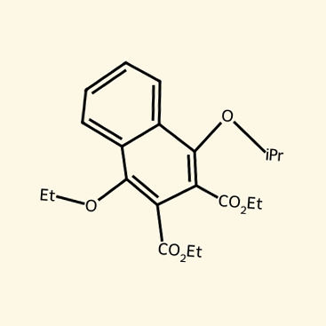 CCOC(=O)c1c(C(=O)OCC)c(OC(C)C)c2ccccc2c1OCC